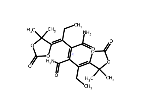 CCC(=C1OC(=O)OC1(C)C)/C(C(N)=O)=C(\C(N)=O)C(CC)=C1OC(=O)OC1(C)C